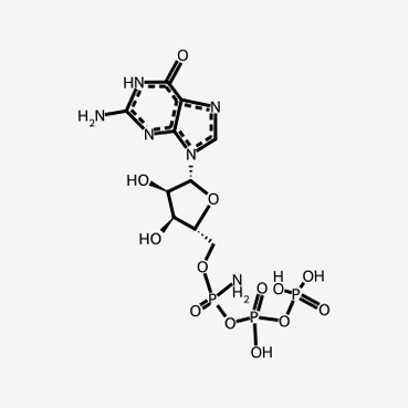 Nc1nc2c(ncn2[C@@H]2O[C@H](COP(N)(=O)OP(=O)(O)OP(=O)(O)O)[C@@H](O)[C@H]2O)c(=O)[nH]1